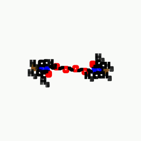 CC1(C)C(=O)N(CCOCCOCCOCCOCCN2C(=O)C(C)(C)N(Br)C2(C)C)C(C)(C)N1Br